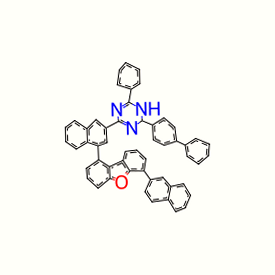 c1ccc(C2=NC(c3cc(-c4cccc5oc6c(-c7ccc8ccccc8c7)cccc6c45)c4ccccc4c3)=NC(c3ccc(-c4ccccc4)cc3)N2)cc1